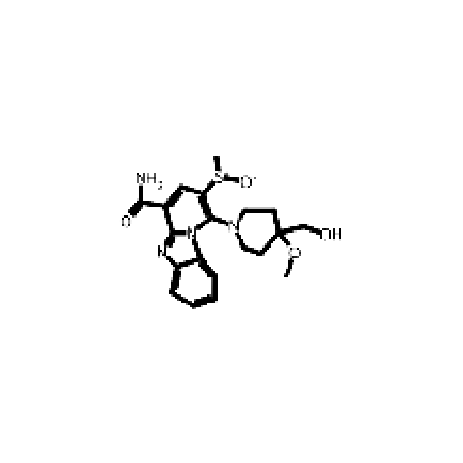 COC1(CO)CCN(c2c([S+](C)[O-])cc(C(N)=O)c3nc4ccccc4n23)CC1